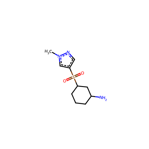 Cn1cc(S(=O)(=O)C2CCCC(N)C2)cn1